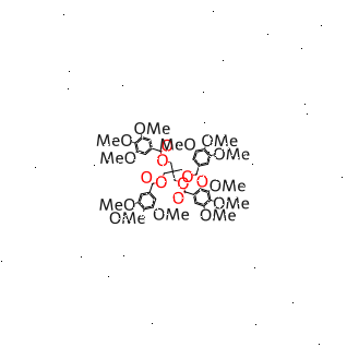 COc1cc(C(=O)OCC(COC(=O)c2cc(OC)c(OC)c(OC)c2)(COC(=O)c2cc(OC)c(OC)c(OC)c2)COC(=O)c2cc(OC)c(OC)c(OC)c2)cc(OC)c1OC